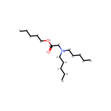 CCCCCOC(=O)CN(CCCCC)CCCCC